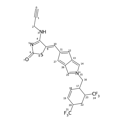 C#CCNC1=NC(=O)S/C1=C\C1=CC2=C[N+](CC3C=CC(C(F)(F)F)CC3C(F)(F)F)=CC2=C1